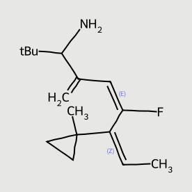 C=C(/C=C(F)\C(=C/C)C1(C)CC1)C(N)C(C)(C)C